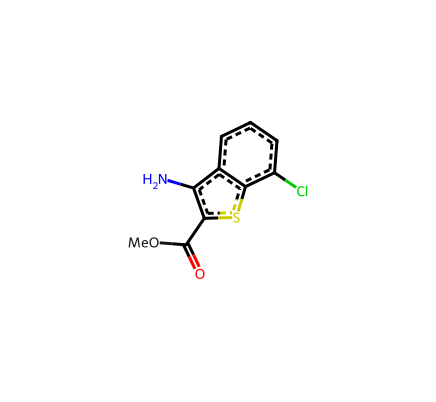 COC(=O)c1sc2c(Cl)cccc2c1N